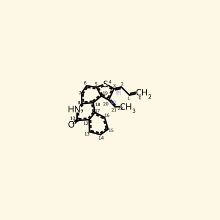 C=C/C=c1/sc2ccc3[nH]c(=O)c4ccccc4c3c2/c1=C/C